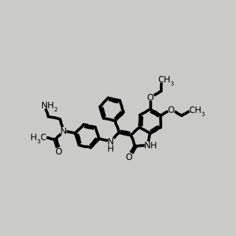 CCOc1cc2c(cc1OCC)/C(=C(/Nc1ccc(N(CCN)C(C)=O)cc1)c1ccccc1)C(=O)N2